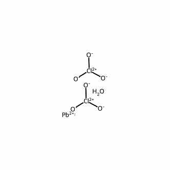 O.[O-][Cl+2]([O-])[O-].[O-][Cl+2]([O-])[O-].[Pb+2]